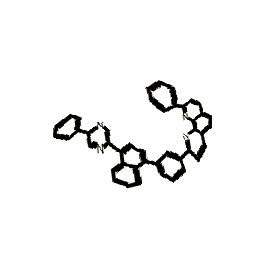 c1ccc(-c2cnc(-c3ccc(-c4cccc(-c5ccc6ccc7ccc(-c8ccccc8)nc7c6n5)c4)c4ccccc34)cn2)cc1